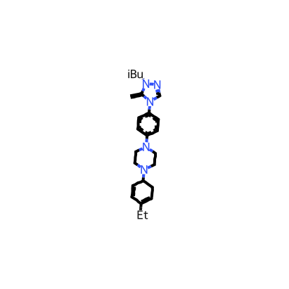 C=C1N(c2ccc(N3CCN(C4C=CC(CC)=CC4)CC3)cc2)C=NN1C(C)CC